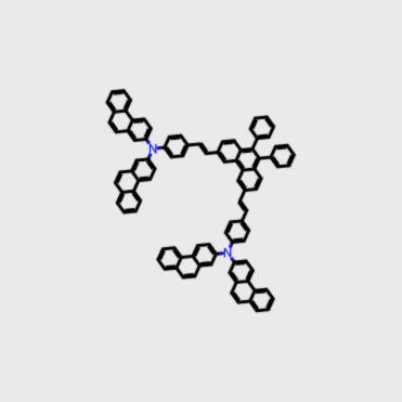 C(=C\c1ccc2c(-c3ccccc3)c(-c3ccccc3)c3ccc(/C=C/c4ccc(N(c5ccc6c(ccc7ccccc76)c5)c5ccc6c(ccc7ccccc76)c5)cc4)cc3c2c1)/c1ccc(N(c2ccc3c(ccc4ccccc43)c2)c2ccc3c(ccc4ccccc43)c2)cc1